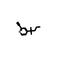 C#Cc1cc(C(C)(C)CCC)ccn1